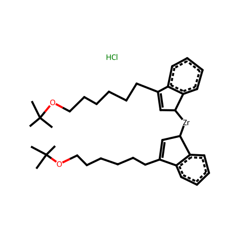 CC(C)(C)OCCCCCCC1=C[CH]([Zr][CH]2C=C(CCCCCCOC(C)(C)C)c3ccccc32)c2ccccc21.Cl